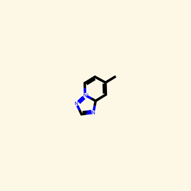 CC1=CC2N=CN=[N+]2C=C1